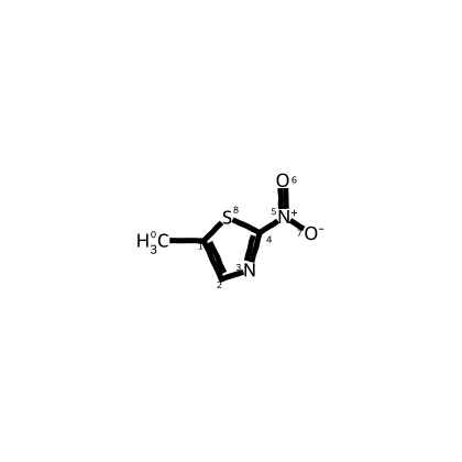 Cc1cnc([N+](=O)[O-])s1